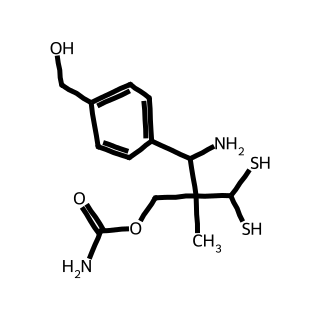 CC(COC(N)=O)(C(S)S)C(N)c1ccc(CO)cc1